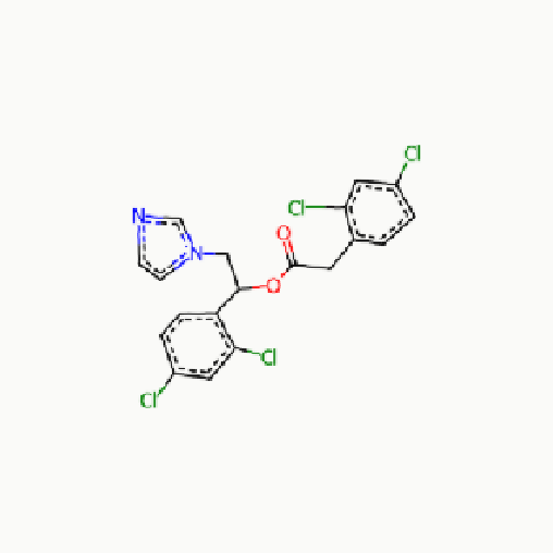 O=C(Cc1ccc(Cl)cc1Cl)OC(Cn1ccnc1)c1ccc(Cl)cc1Cl